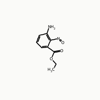 CCOC(=O)c1cccc(N)c1N=O